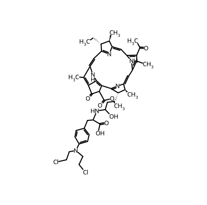 CC[C@H]1c2cc3[nH]c4c(c3C)C(=O)C(C(=O)OC)c4c3nc(cc4[nH]c(cc(n2)[C@@H]1C)c(C(C)=O)c4C)[C@@H](C)[C@@H]3CCC(O)NC(Cc1ccc(N(CCCl)CCCl)cc1)C(=O)O